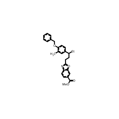 CCC(CCc1nc2ccc(C(=O)OC)cc2o1)c1ccc(OCc2ccccc2)c(C)c1